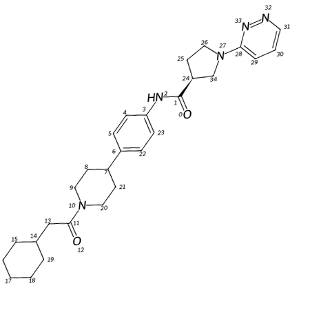 O=C(Nc1ccc(C2CCN(C(=O)CC3CCCCC3)CC2)cc1)[C@H]1CCN(c2cccnn2)C1